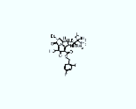 BC(B)(B)C(B)(B)N[C@@H]1C[C@@H]2CN(CC)C(=O)c3c(O)c(=O)c(C(=O)NCc4ccc(F)cc4F)c1n32